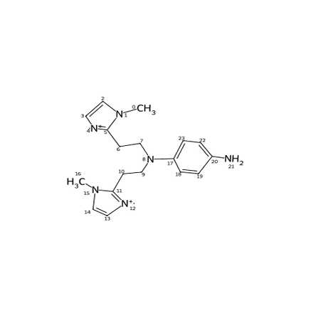 CN1C=C[N+]=C1CCN(CCC1=[N+]C=CN1C)c1ccc(N)cc1